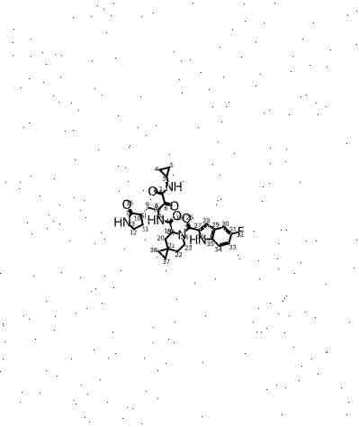 O=C(NC1CC1)C(=O)[C@H](C[C@@H]1CCNC1=O)NC(=O)[C@@H]1CC2(CCN1C(=O)c1cc3cc(F)ccc3[nH]1)CC2